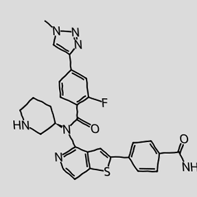 Cn1cc(-c2ccc(C(=O)N(c3nccc4sc(-c5ccc(C(N)=O)cc5)cc34)[C@@H]3CCCNC3)c(F)c2)nn1